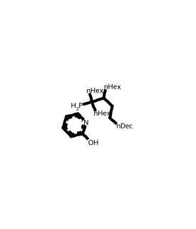 CCCCCCCCCCCCC(CCCCCC)C(P)(CCCCCC)CCCCCC.Oc1ccccn1